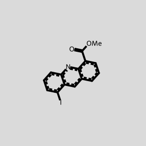 COC(=O)c1cccc2cc3c(I)cccc3nc12